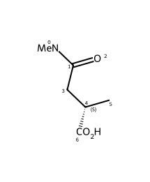 CNC(=O)C[C@H](C)C(=O)O